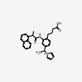 CC(C(=O)Nc1cc(C(N)[SH]2C=CC=C2)ccc1CCCC(=O)O)c1cccc2ccccc12